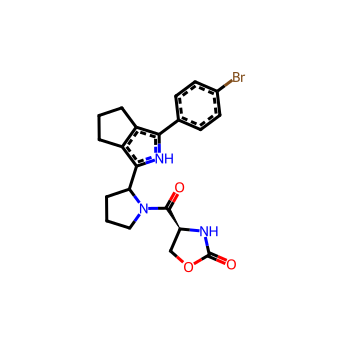 O=C1N[C@H](C(=O)N2CCCC2c2[nH]c(-c3ccc(Br)cc3)c3c2CCC3)CO1